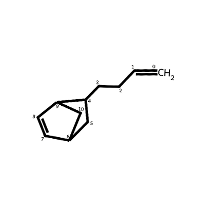 C=CCCC1CC2C=CC1C2